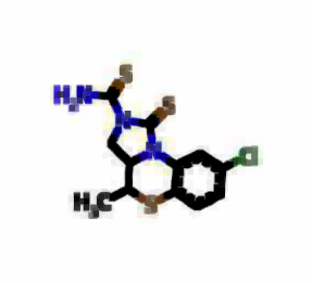 CC1Sc2ccc(Cl)cc2N2C(=S)N(C(N)=S)CC12